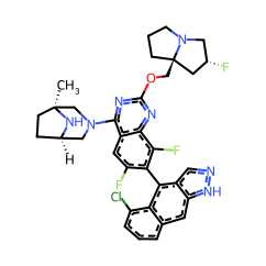 C[C@]12CC[C@H](CN(c3nc(OC[C@@]45CCCN4C[C@H](F)C5)nc4c(F)c(-c5c6cn[nH]c6cc6cccc(Cl)c56)c(F)cc34)C1)N2